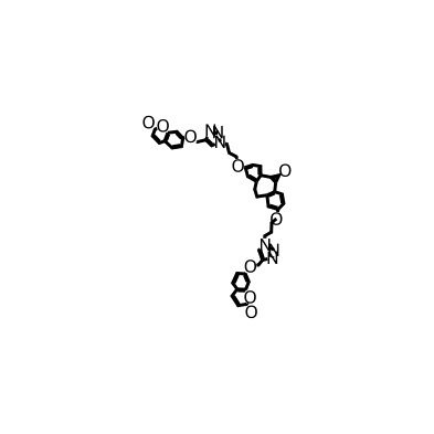 O=c1ccc2ccc(OCc3cn(CCCOc4ccc5c(c4)CCc4cc(OCCCn6cc(COc7ccc8ccc(=O)oc8c7)nn6)ccc4-c4c-5c4=O)nn3)cc2o1